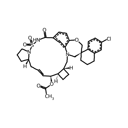 CC(=O)O[C@H]1/C=C/C[C@@H]2CCCN2S(=O)(=O)NC(=O)c2ccc3c(c2)N(C[C@@H]2CC[C@H]21)C[C@@]1(CCCc2cc(Cl)ccc21)CO3